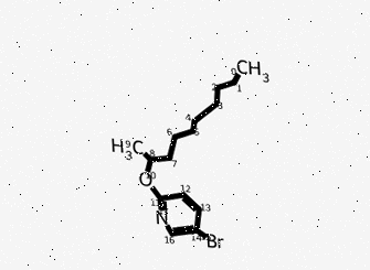 CCCCCCCCC(C)Oc1ccc(Br)cn1